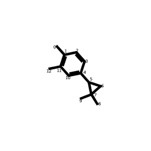 Cc1ccc(C2CC2(C)C)cc1C